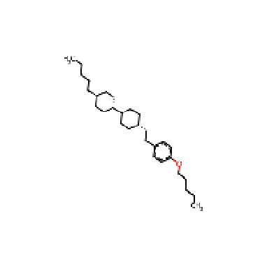 CCCCCOc1ccc(CC[C@H]2CC[C@H]([C@H]3CC[C@H](CCCCC)CC3)CC2)cc1